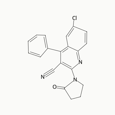 N#Cc1c(N2CCCC2=O)nc2ccc(Cl)cc2c1-c1ccccc1